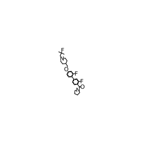 CC(C)(F)CN1CCC(COc2ccc(-c3ccc(C(=O)N4CCCC4)c(F)c3)c(F)c2)CC1